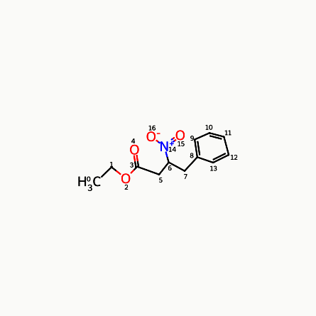 CCOC(=O)CC(Cc1ccccc1)[N+](=O)[O-]